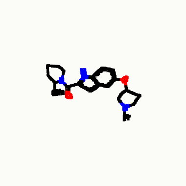 COC1CCCCN1C(=O)c1cc2cc(OC3CCN(C(C)C)C3)ccc2[nH]1